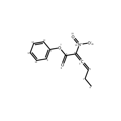 CCC=C=C(C(=O)Oc1ccccc1)[N+](=O)[O-]